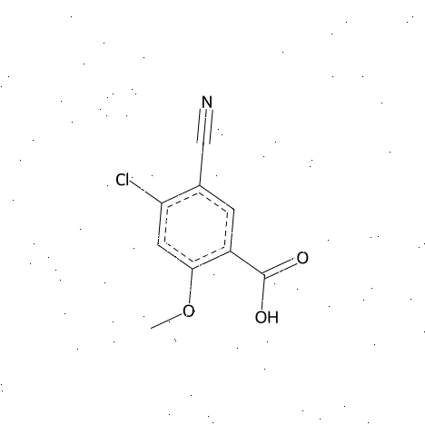 COc1cc(Cl)c(C#N)cc1C(=O)O